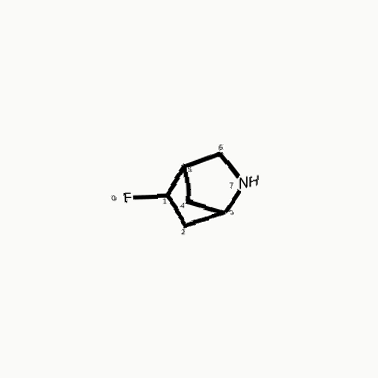 FC1CC2CC1CN2